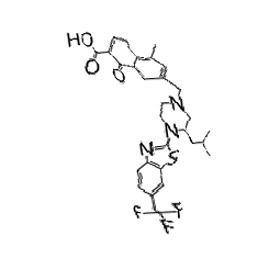 Cc1cc(CN2CCN(c3nc4ccc(C(F)(F)F)cc4s3)[C@H](CC(C)C)C2)cc2c1CC=C(C(=O)O)C2=O